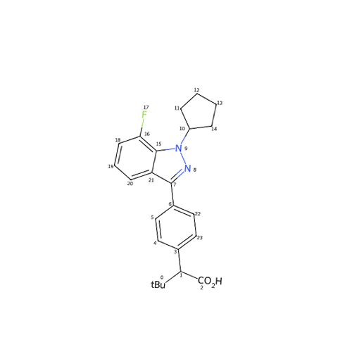 CC(C)(C)C(C(=O)O)c1ccc(-c2nn(C3CCCC3)c3c(F)cccc23)cc1